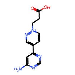 Nc1cc(-c2cc[n+](CCC(=O)O)nc2)ncn1